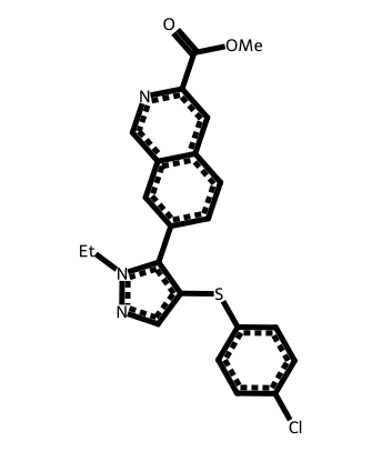 CCn1ncc(Sc2ccc(Cl)cc2)c1-c1ccc2cc(C(=O)OC)ncc2c1